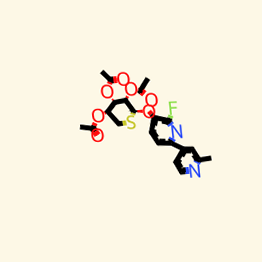 CC(=O)O[C@@H]1[C@@H](OC(C)=O)[C@@H](Oc2ccc(-c3ccnc(C)c3)nc2F)SC[C@H]1OC(C)=O